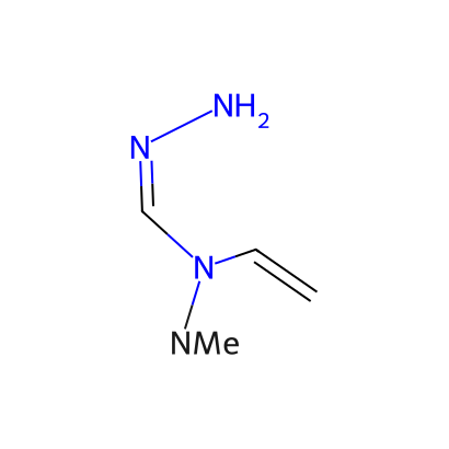 C=CN(/C=N\N)NC